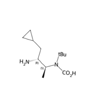 C[C@@H]([C@H](N)CC1CC1)N(C(=O)O)C(C)(C)C